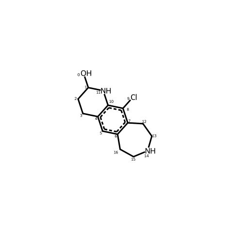 OC1CCc2cc3c(c(Cl)c2N1)CCNCC3